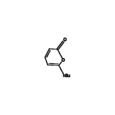 CCCCc1cccc(=O)o1